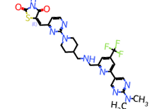 CN(C)c1ncc(-c2cc(C(F)(F)F)cc(CNCC3CCN(c4nccc(/C=C5/SC(=O)NC5=O)n4)CC3)n2)cn1